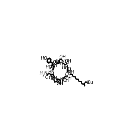 CCC(C)CC(C)CCCCCCCCC(=O)NC1C[C@@H](O)[C@@H](O)NC(=O)[C@@H]2[C@@H](O)CCN2C(=O)C([C@H](O)CC(N)=O)NC(=O)[C@H]([C@H](O)[C@@H](O)c2ccc(O)cc2)NC(=O)C2C[C@@H](O)CN2C(=O)C([C@@H](C)O)NC1=O